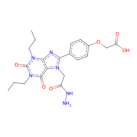 CCCn1c(=O)c2c(nc(-c3ccc(OCC(=O)O)cc3)n2CC(=O)NN)n(CCC)c1=O